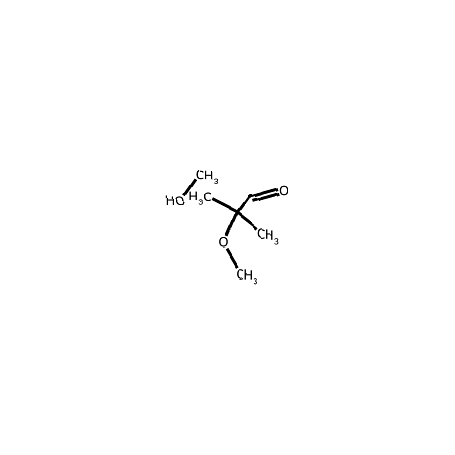 CO.COC(C)(C)C=O